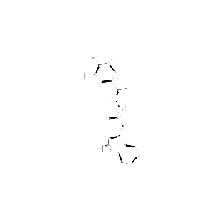 C/C(=N\NC(=O)Cc1c[nH]c2ccccc12)c1ccc(Cl)c(Cl)c1